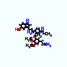 CCNc1ccccc1.COc1cc(CCN)cc(OC)c1OC.NCCc1c[nH]c2ccc(O)cc12